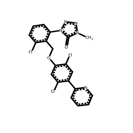 Cn1nnn(-c2cccc(Cl)c2COc2cc(Cl)c(-c3ccccn3)cc2Cl)c1=O